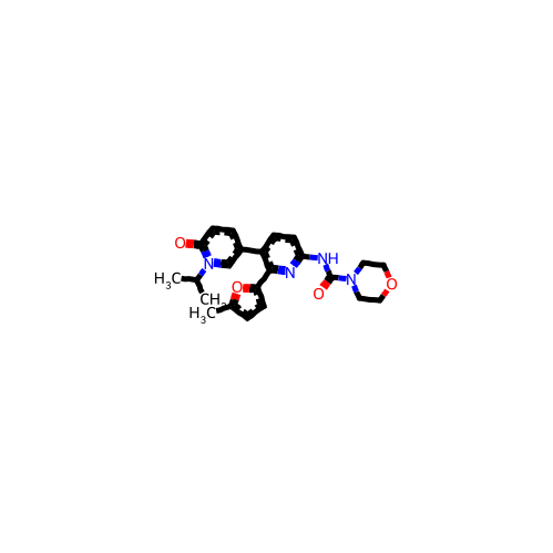 Cc1ccc(-c2nc(NC(=O)N3CCOCC3)ccc2-c2ccc(=O)n(C(C)C)c2)o1